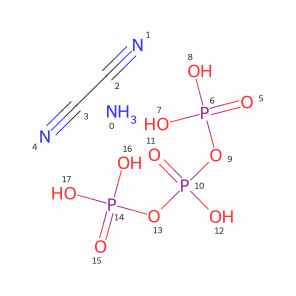 N.N#CC#N.O=P(O)(O)OP(=O)(O)OP(=O)(O)O